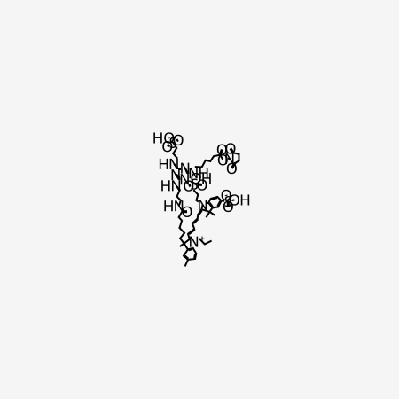 CCC[N+]1=C(/C=C/C=C/C=C2/N(CCCS(=O)(=O)O)c3ccc(S(=O)(=O)O)cc3C2(C)C)C(C)(CCCCCC(=O)NCCCNc2nc(NCCCCCC(=O)ON3C(=O)CCC3=O)nc(NCCCS(=O)(=O)O)n2)c2cc(C)ccc21